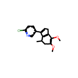 COC1=C(OC)C2=C(C(c3ccc(Cl)nc3)=CC2)C(C)C1